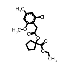 CCOC(=O)C1(OC(=O)Cc2c(Cl)cc(C)cc2OC)CCCC1